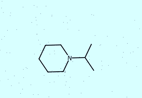 CC(C)N1[C]CCCC1